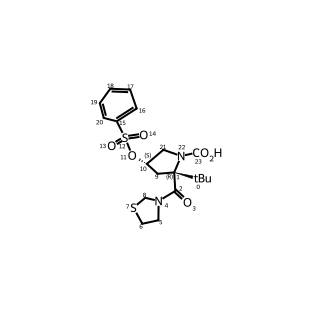 CC(C)(C)[C@@]1(C(=O)N2CCSC2)C[C@H](OS(=O)(=O)c2ccccc2)CN1C(=O)O